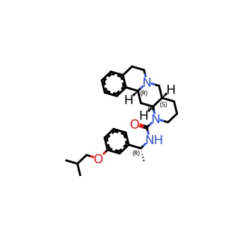 CC(C)COc1cccc([C@@H](C)NC(=O)N2CCC[C@H]3CN4CCc5ccccc5[C@H]4C[C@H]32)c1